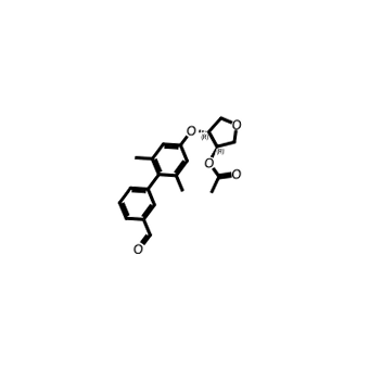 CC(=O)O[C@@H]1COC[C@H]1Oc1cc(C)c(-c2cccc(C=O)c2)c(C)c1